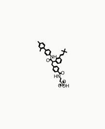 Cc1ccc(-c2ccc(NC(=O)C(Cc3ccc(C(=O)NCCS(=O)(=O)O)cc3)c3cccc(/C=C/C(C)(C)C)c3)cc2)c(C)c1